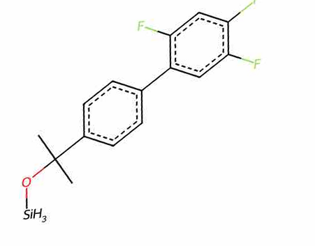 CC(C)(O[SiH3])c1ccc(-c2cc(F)c(F)cc2F)cc1